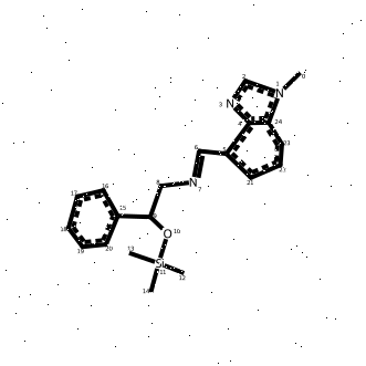 Cn1cnc2c(C=NCC(O[Si](C)(C)C)c3ccccc3)cccc21